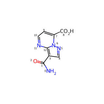 NC(=O)c1cnn2c(C(=O)O)ccnc12